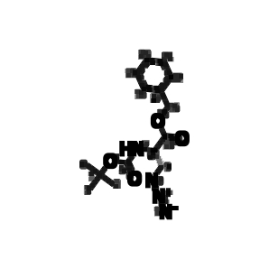 CC(C)(C)OC(=O)N[C@@H](CN=[N+]=[N-])C(=O)OCc1ccccc1